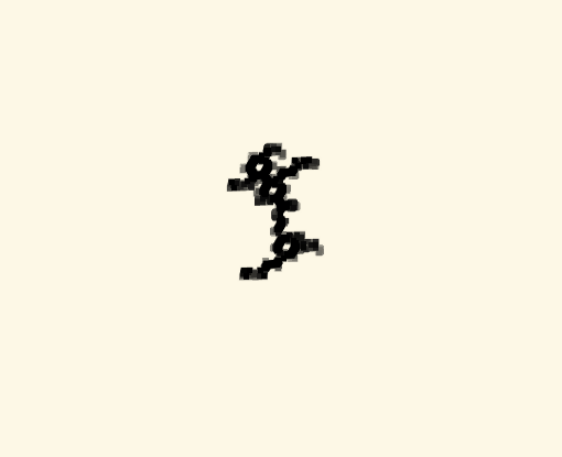 CNCCN1C[C@H](CCOC(=O)C2CN(CCNC)C(C3CN(C)CCC3NC)CN2)N[C@H](C)C1